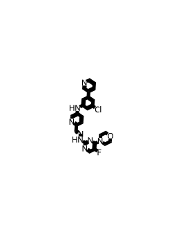 Fc1cnc(N/N=C/c2ccc(Nc3cc(Cl)cc(-c4cccnc4)c3)cn2)nc1N1CCOCC1